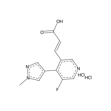 Cl.Cl.Cn1cc(-c2c(F)cncc2C=CC(=O)O)cn1